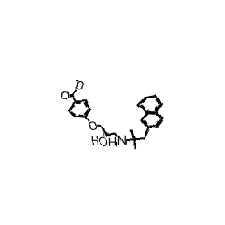 COC(=O)c1ccc(OC[C@H](O)CNC(C)(C)Cc2ccc3ccccc3c2)cc1